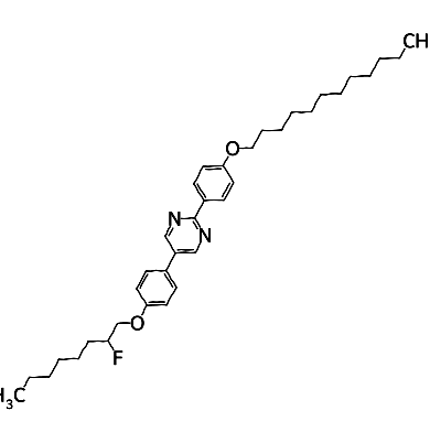 CCCCCCCCCCCCOc1ccc(-c2ncc(-c3ccc(OCC(F)CCCCCC)cc3)cn2)cc1